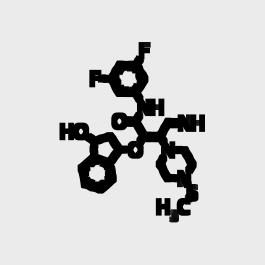 CSN1CCN(/C(C=N)=C(\OC2CC(O)c3ccccc32)C(=O)Nc2cc(F)cc(F)c2)CC1